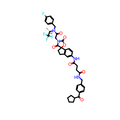 C[C@H](N(Cc1ccc(F)cc1)C(=O)CN1C(=O)OC2(CCc3cc(NC(=O)CCC(=O)NCc4ccc(C(=O)C5CCCC5)cc4)ccc32)C1=O)C(F)(F)F